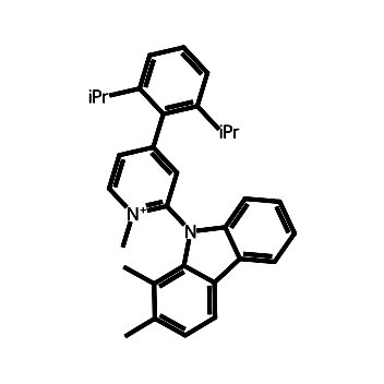 Cc1ccc2c3ccccc3n(-c3cc(-c4c(C(C)C)cccc4C(C)C)cc[n+]3C)c2c1C